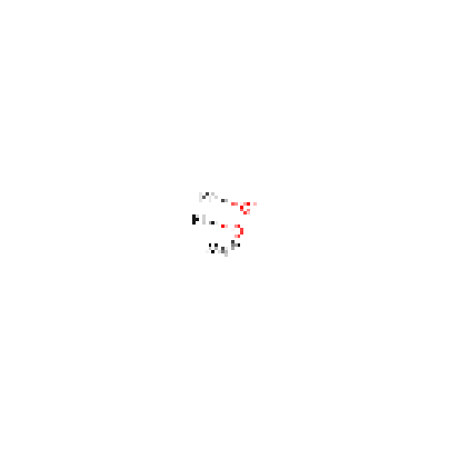 CC(C)[O-].CC[O-].[Mg+2]